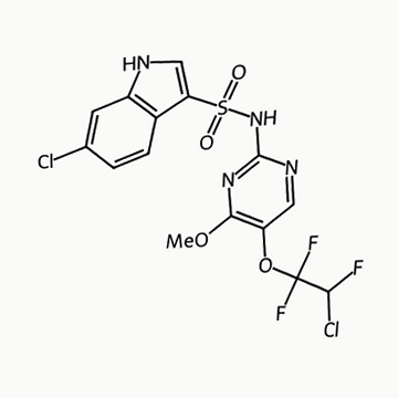 COc1nc(NS(=O)(=O)c2c[nH]c3cc(Cl)ccc23)ncc1OC(F)(F)C(F)Cl